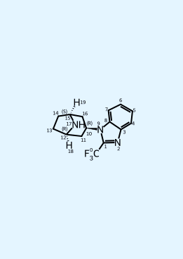 FC(F)(F)c1nc2ccccc2n1[C@H]1C[C@H]2CC[C@@H](C1)N2